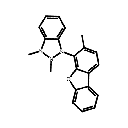 Cc1ccc2c(oc3ccccc32)c1N1c2ccccc2N(C)N1C